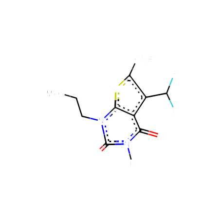 CCOC(=O)c1sc2c(c1C(F)F)c(=O)n(CC)c(=O)n2CCOC